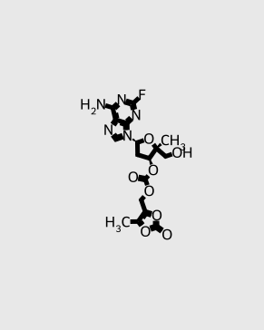 Cc1oc(=O)oc1COC(=O)O[C@H]1C[C@H](n2cnc3c(N)nc(F)nc32)O[C@]1(C)CO